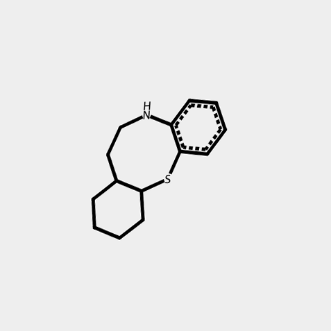 c1ccc2c(c1)NCCC1CCCCC1S2